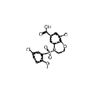 COc1ccc(Cl)cc1S(=O)(=O)N1CCOc2c(Cl)cc(C(=O)O)cc21